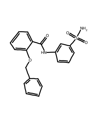 NS(=O)(=O)c1cccc(NC(=O)c2ccccc2OCc2ccccc2)c1